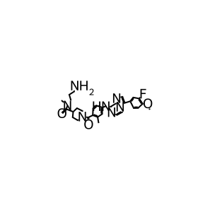 COc1ccc(-c2cnc3c(Nc4ccc(C(=O)N5CCC(C(=O)N(C)CCCN)CC5)c(C)c4)nccn23)cc1F